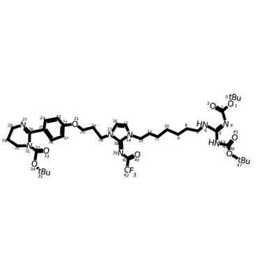 CC(C)(C)OC(=O)/N=C(\NCCCCCCCn1ccn(CCCOc2ccc(C3=NCCCN3C(=O)OC(C)(C)C)cc2)/c1=N/C(=O)C(F)(F)F)NC(=O)OC(C)(C)C